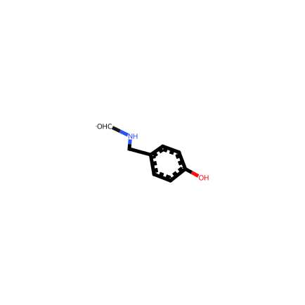 O=[C]NCc1ccc(O)cc1